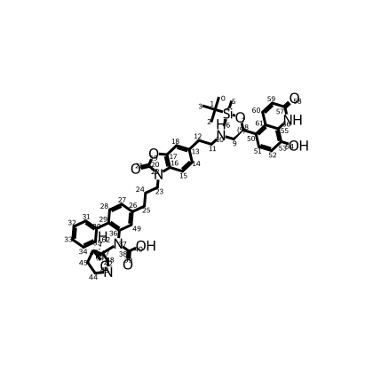 CC(C)(C)[Si](C)(C)O[C@H](CNCCc1ccc2c(c1)oc(=O)n2CCCc1ccc(-c2ccccc2)c(N(C(=O)O)[C@H]2CN3CCC2CC3)c1)c1ccc(O)c2[nH]c(=O)ccc12